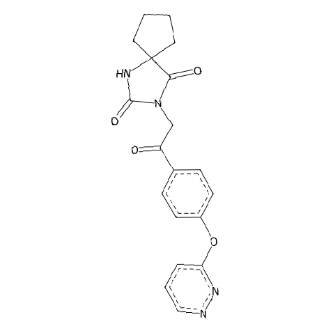 O=C(CN1C(=O)NC2(CCCC2)C1=O)c1ccc(Oc2cccnn2)cc1